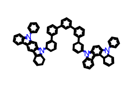 C1=CC2c3c(ccc4c3c3ccccc3n4C3=CC(c4cccc(-c5cccc(-c6cccc(C7=CC(n8c9c(c%10cc%11c%12ccccc%12n(-c%12ccccc%12)c%11cc%108)C=CCC9)CC=C7)c6)c5)c4)CC=C3)N(c3ccccc3)C2C=C1